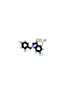 O=C(O)c1cn(Cc2ccc(F)cc2F)c2cc(Cl)ccc12